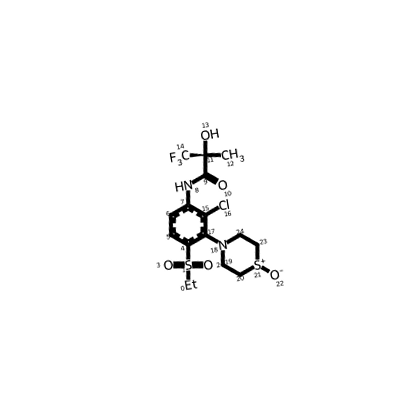 CCS(=O)(=O)c1ccc(NC(=O)[C@@](C)(O)C(F)(F)F)c(Cl)c1N1CC[S+]([O-])CC1